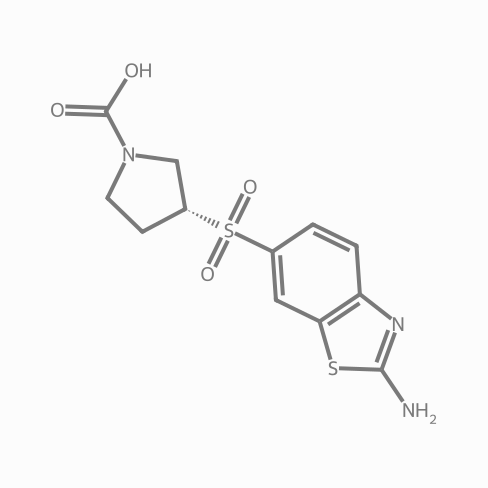 Nc1nc2ccc(S(=O)(=O)[C@@H]3CCN(C(=O)O)C3)cc2s1